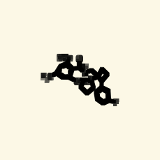 COc1cc(C(F)(F)F)cc(SC)c1C(=O)NCC1(N2CCCC2)CCC1c1cccc(F)c1